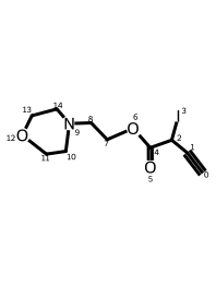 C#CC(I)C(=O)OCCN1CCOCC1